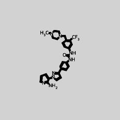 CN1CCN(Cc2ccc(NC(=O)Nc3ccc(-c4ccn(-c5cccnc5N)n4)cc3)cc2C(F)(F)F)CC1